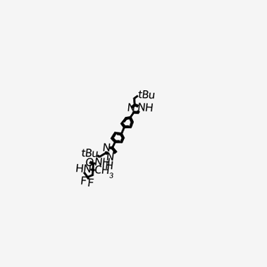 CC(C)(C)Cc1nc(-c2ccc(-c3ccc(-c4c[nH]c(C(NC(=O)C5(C)CC(F)(F)CN5)C(C)(C)C)n4)cc3)cc2)c[nH]1